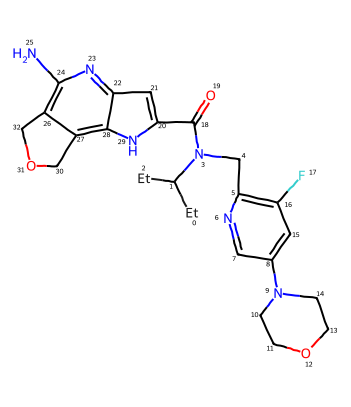 CCC(CC)N(Cc1ncc(N2CCOCC2)cc1F)C(=O)c1cc2nc(N)c3c(c2[nH]1)COC3